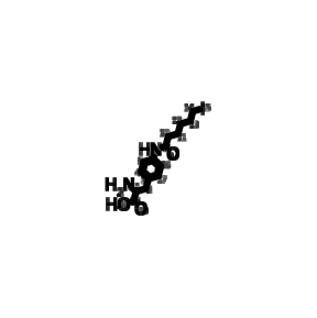 NC(Cc1ccc(NC(=O)CCCCCI)cc1)C(=O)O